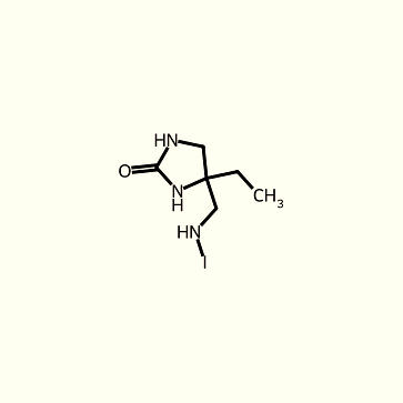 CCC1(CNI)CNC(=O)N1